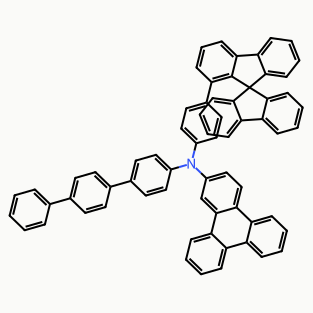 c1ccc(-c2ccc(-c3ccc(N(c4ccc(-c5cccc6c5C5(c7ccccc7-c7ccccc75)c5ccccc5-6)cc4)c4ccc5c6ccccc6c6ccccc6c5c4)cc3)cc2)cc1